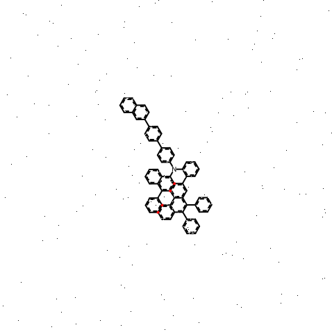 c1ccc(-c2ccc(N(c3ccc(-c4ccc(-c5ccc6ccccc6c5)cc4)cc3)c3ccccc3-c3ccc4c(c3)c(-c3ccccc3)c(-c3ccccc3)c3ccccc34)c3ccccc23)cc1